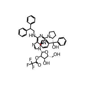 O=C(O[C@@H]1[C@H](O)[C@@H](CO)O[C@H]1n1cnc2c(NCC(c3ccccc3)c3ccccc3)nc(N3CCC[C@@H]3C(O)(c3ccccc3)c3ccccc3)nc21)C(F)(F)F